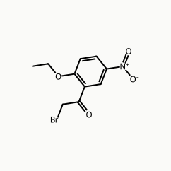 CCOc1ccc([N+](=O)[O-])cc1C(=O)CBr